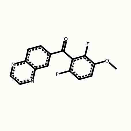 COc1ccc(F)c(C(=O)c2ccc3nccnc3c2)c1F